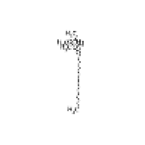 CCCCCCCCCCCCCCCCCCOCC1(OC(C)(C)OC)OC1CCC